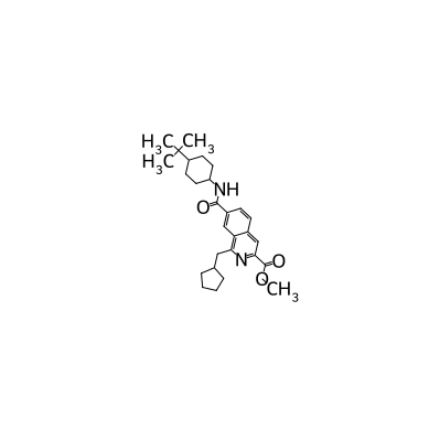 COC(=O)c1cc2ccc(C(=O)NC3CCC(C(C)(C)C)CC3)cc2c(CC2CCCC2)n1